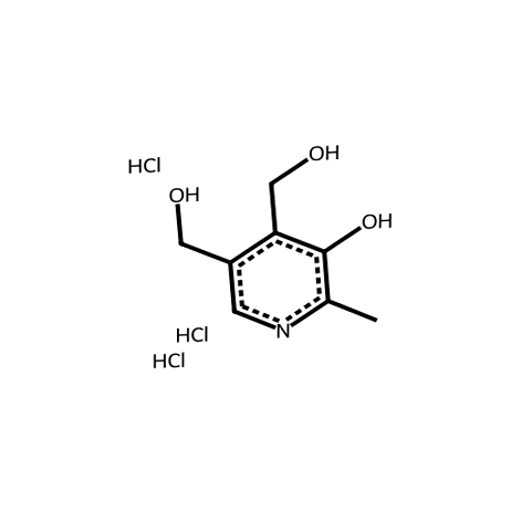 Cc1ncc(CO)c(CO)c1O.Cl.Cl.Cl